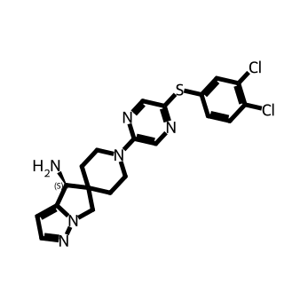 N[C@@H]1c2ccnn2CC12CCN(c1cnc(Sc3ccc(Cl)c(Cl)c3)cn1)CC2